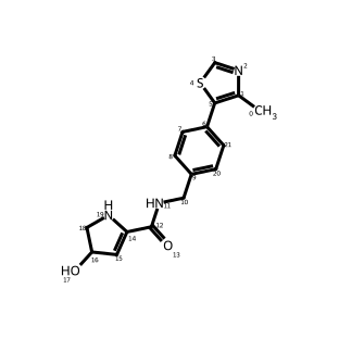 Cc1ncsc1-c1ccc(CNC(=O)C2=CC(O)CN2)cc1